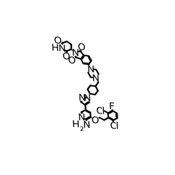 Nc1ncc(-c2cnn(C3CCC(CN4CCN(c5ccc6c(c5)C(=O)N([C@@H]5CCC(=O)NC5=O)C6=O)CC4)CC3)c2)cc1OCCc1c(Cl)ccc(F)c1Cl